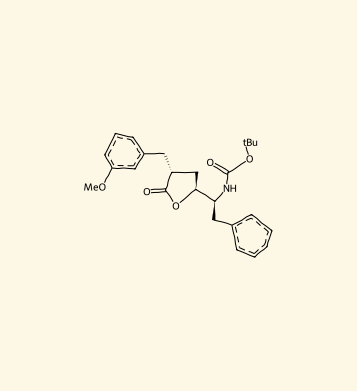 COc1cccc(C[C@@H]2C[C@@H]([C@H](Cc3ccccc3)NC(=O)OC(C)(C)C)OC2=O)c1